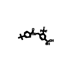 CC(C)(C)c1ccc(C(=O)NCc2ccc(B(O)O)cc2C(F)(F)F)cc1